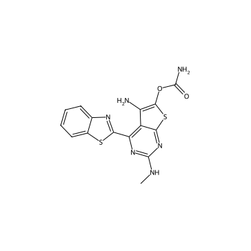 CNc1nc(-c2nc3ccccc3s2)c2c(N)c(OC(N)=O)sc2n1